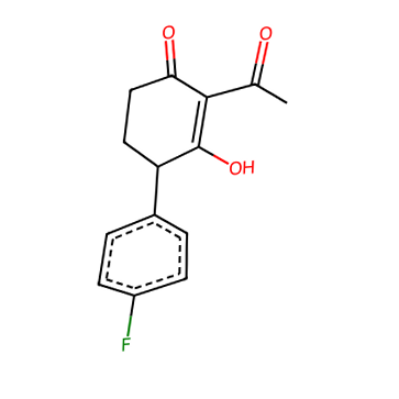 CC(=O)C1=C(O)C(c2ccc(F)cc2)CCC1=O